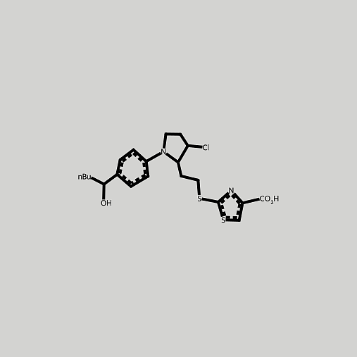 CCCCC(O)c1ccc(N2CCC(Cl)C2CCSc2nc(C(=O)O)cs2)cc1